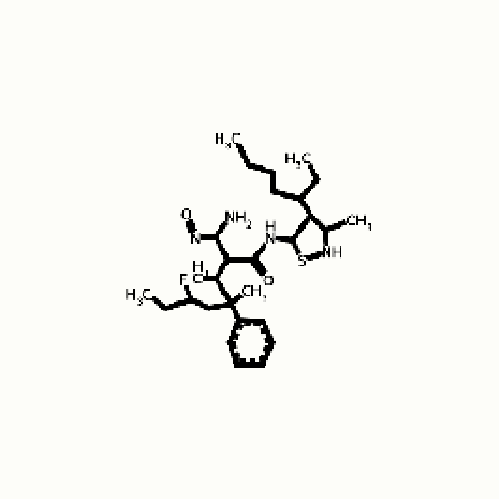 CCCCC(CC)C1C(C)NSC1NC(=O)C(C(N)N=O)C(C)C(C)(CC(F)CC)c1ccccc1